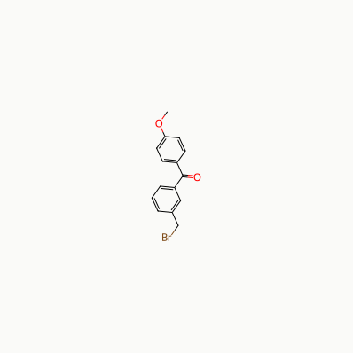 COc1ccc(C(=O)c2cccc(CBr)c2)cc1